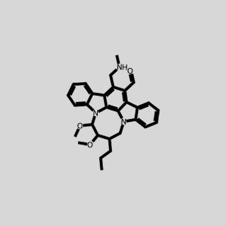 CCCC1Cn2c3ccccc3c3c(C=O)c(CNC)c4c5ccccc5n(c4c32)C(OC)C1OC